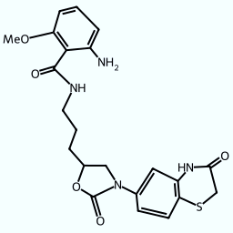 COc1cccc(N)c1C(=O)NCCCC1CN(c2ccc3c(c2)NC(=O)CS3)C(=O)O1